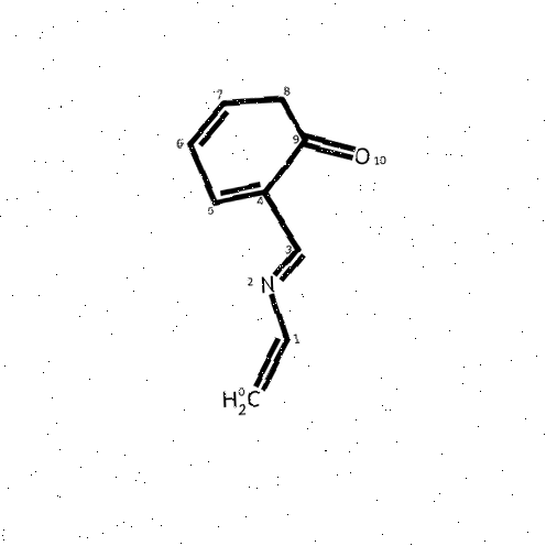 C=CN=CC1=CC=CCC1=O